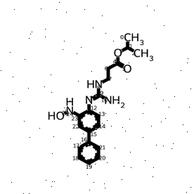 CC(C)OC(=O)CCN/C(N)=N/c1ccc(-c2ccccc2)cc1NO